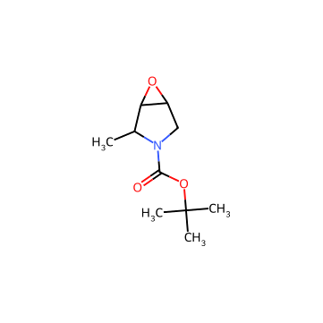 CC1C2OC2CN1C(=O)OC(C)(C)C